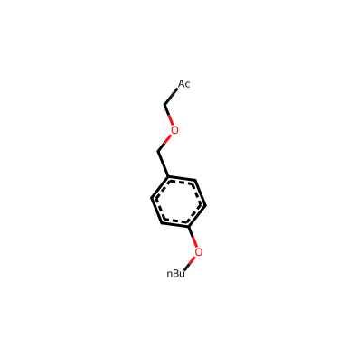 CCCCOc1ccc(COCC(C)=O)cc1